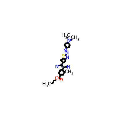 CCCCOC(=O)c1ccc(/C(C#N)=C(\C#N)C2=Cc3sc(/N=N/c4ccc(N(CC)CC)cc4)nc3C2)c(C)c1